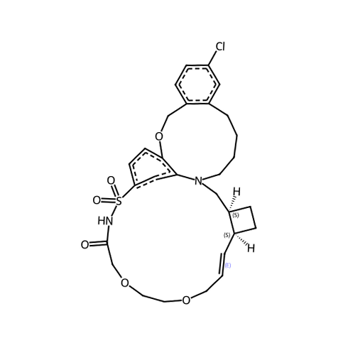 O=C1COCCOC/C=C/[C@@H]2CC[C@@H]2CN2CCCCc3cc(Cl)ccc3COc3ccc(cc32)S(=O)(=O)N1